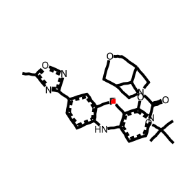 Cc1nc(-c2ccc(Nc3ccnc(OC4C5COCC4CN(C(=O)OC(C)(C)C)C5)c3F)c(F)c2)no1